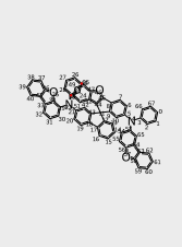 c1ccc(N(c2ccc3c(c2)C2(c4ccccc4-c4ccc(N(c5ccccc5)c5cccc6c5oc5ccccc56)cc42)c2c-3oc3ccccc23)c2ccc3oc4ccccc4c3c2)cc1